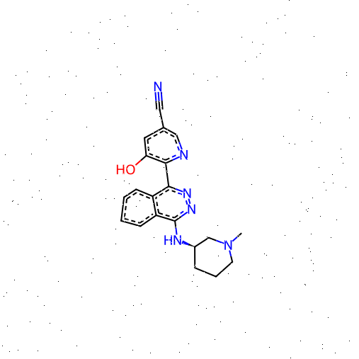 CN1CCC[C@@H](Nc2nnc(-c3ncc(C#N)cc3O)c3ccccc23)C1